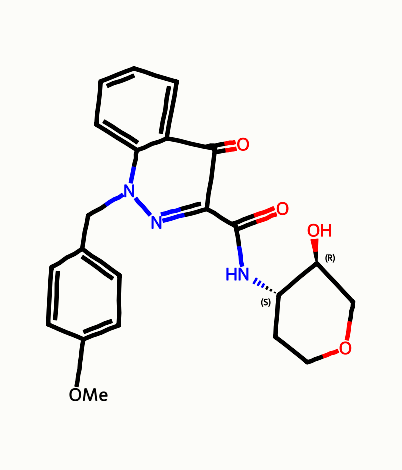 COc1ccc(Cn2nc(C(=O)N[C@H]3CCOC[C@@H]3O)c(=O)c3ccccc32)cc1